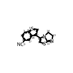 N#Cc1ccc2scc(C3=CSC4=NCCN34)c2c1